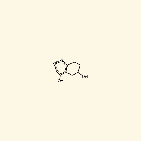 Oc1cccc2c1CC(O)CC2